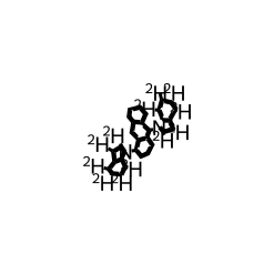 [2H]c1c([2H])c([2H])c2c(c1[2H])c([2H])c([2H])n2-c1cccc2c(-n3c([2H])c([2H])c4c([2H])c([2H])c([2H])c([2H])c43)c3ccccc3cc12